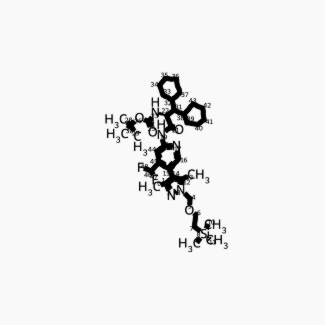 Cc1nn(COCC[Si](C)(C)C)c(C)c1-c1cnc(NC(=O)[C@@H](NC(=O)OC(C)(C)C)C(C2CCCCC2)C2CCCCC2)cc1C(F)F